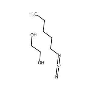 CCCCCN=[N+]=[N-].OCCO